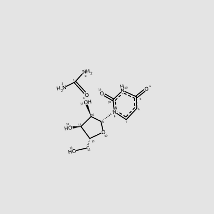 NC(N)=O.O=c1ccn([C@@H]2O[C@H](CO)[C@@H](O)[C@H]2O)c(=O)[nH]1